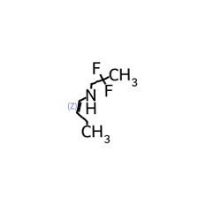 CC/C=C\NCC(C)(F)F